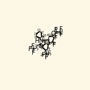 O=C(CCC(F)(F)F)N[C@](Cc1ccccc1)(c1ccc(C(F)(F)F)cc1)c1cc(F)cc(OC(F)(F)C(F)F)c1